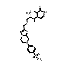 C[C@@H](COCc1nc2n(n1)CCN(c1ccc(S(C)(=O)=O)cn1)C2)Nc1cn[nH]c(=O)c1C(F)(F)F